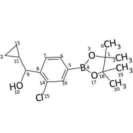 CC1(C)OB(c2ccc(C(O)C3CC3)c(Cl)c2)OC1(C)C